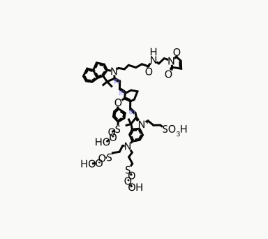 CC1(C)C(/C=C/C2=C(Oc3ccc(SOOO)cc3)C(=C/C=C3/N(CCCCCC(=O)NCCN4C(=O)C=CC4=O)c4ccc5ccccc5c4C3(C)C)/CCC2)=[N+](CCCS(=O)(=O)O)c2ccc(N(CCCSOOO)CCCSOOO)cc21